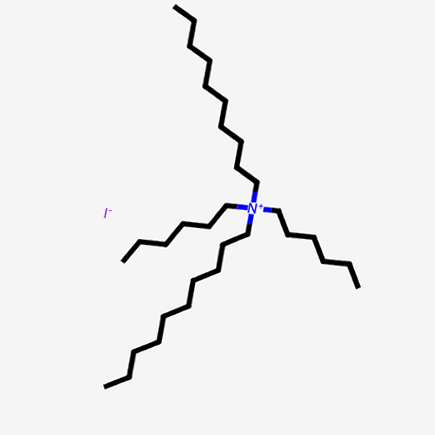 CCCCCCCCCC[N+](CCCCCC)(CCCCCC)CCCCCCCCCC.[I-]